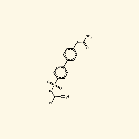 CC(C)C(NS(=O)(=O)c1ccc(-c2ccc(OC(N)=O)cc2)cc1)C(=O)O